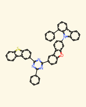 c1ccc(-c2nc(-c3ccc4oc5cc(-n6c7ccccc7c7cccc(-c8ccccc8)c76)ccc5c4c3)nc(-c3ccc4sc5ccccc5c4c3)n2)cc1